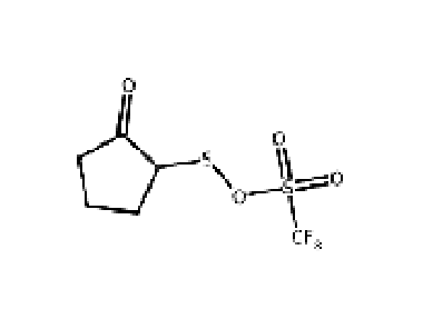 O=C1CCCC1SOS(=O)(=O)C(F)(F)F